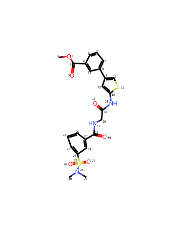 COC(=O)c1cccc(-c2csc(NC(=O)CNC(=O)c3cccc(S(=O)(=O)N(C)C)c3)c2)c1